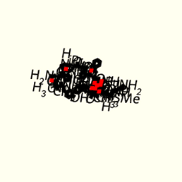 CCCC[C@@H](C(=O)N(C)[C@@H](CCCC)C(=O)N[C@@H](C)C(=O)N[C@@H](CSC)C(=O)NCC(N)=O)N(C)C(=O)[C@H](Cc1c[nH]c2ccccc12)NC(=O)[C@H](CCN)NC(=O)[C@H](Cc1c[nH]c2ccccc12)NC(=O)[C@@H]1C[C@@H](O)CN1C(=O)[C@H](CC(C)C)NC(=O)[C@H](Cc1cnc[nH]1)NC(=O)[C@@H]1CCCN1C(=O)[C@H](CC(N)=O)NC(=O)[C@H](C)N(C)C(=O)[C@H](Cc1ccc(O)cc1)NC(C)=O